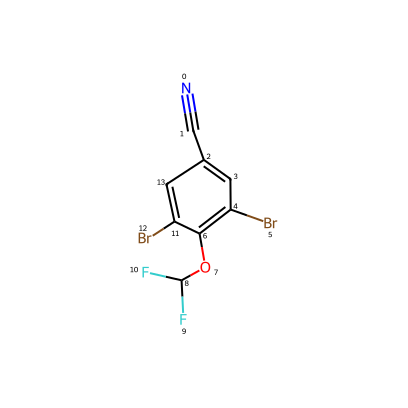 N#Cc1cc(Br)c(OC(F)F)c(Br)c1